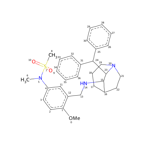 COc1ccc(N(C)S(C)(=O)=O)cc1CNC1C2CCCN(CC2)C1C(c1ccccc1)c1ccccc1